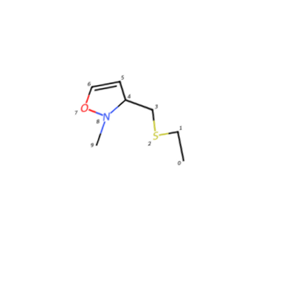 CCSCC1C=CON1C